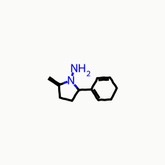 C=C1CCC(C2=CCCC=C2)N1N